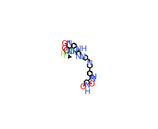 Cn1nc(C2CCC(=O)NC2=O)c2ccc(C3CCN(CC4CCN(c5cc(Nc6ccc7c(c6)c6c(c(=O)n7C)OCC(F)(F)[C@H](C7CC7)N6)c(Cl)cn5)CC4)CC3)cc21